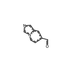 O=Cc1ccn2cncc2c1